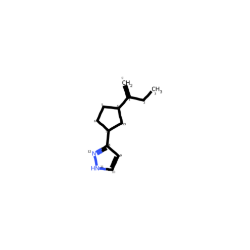 C=C(CC)C1CCC(c2cc[nH]n2)C1